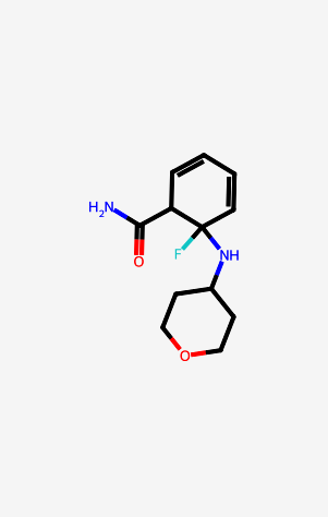 NC(=O)C1C=CC=CC1(F)NC1CCOCC1